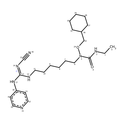 CCNC(=O)N(CCCCCCN/C(=N\C#N)Nc1ccncc1)OCC1CCCCC1